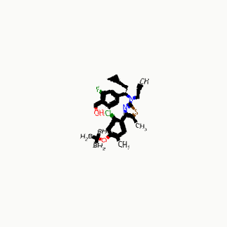 BC(B)(B)Oc1cc(Cl)c(-c2nc(N(CC#C)[C@@H](CC3CC3)c3ccc(CO)c(F)c3)sc2C)cc1C